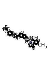 CCc1ccc(C)cc1N1C(=O)CS/C1=N\C(=O)NC1Cc2ccc(-c3ncn(-c4ccc(OC(F)(F)F)cc4)n3)cc2C1